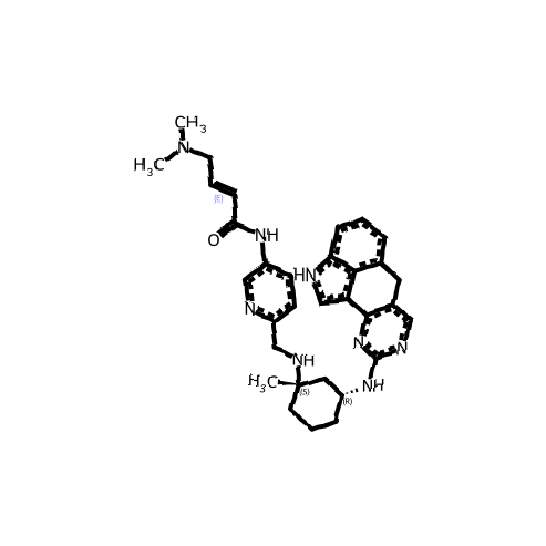 CN(C)C/C=C/C(=O)Nc1ccc(CN[C@@]2(C)CCC[C@@H](Nc3ncc4c(n3)-c3c[nH]c5cccc(c35)C4)C2)nc1